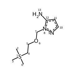 CS(C)(C)CCOCn1nccc1N